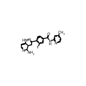 Cc1ccnc(NC(=O)c2c#cc(C3=NNC4=CC=NC(N)C4C3)c(F)c2)c1